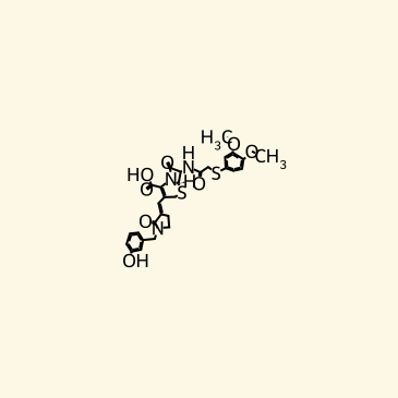 COc1ccc(SCC(=O)N[C@@H]2C(=O)N3C(C(=O)O)=C(/C=C4\CCN(Cc5cccc(O)c5)C4=O)CS[C@H]23)cc1OC